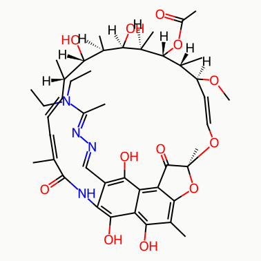 CCN(CC)/C(C)=N/N=C/c1c2c(O)c3c(O)c(C)c4c(c3c1O)C(=O)[C@@](C)(O/C=C/[C@H](OC)[C@@H](C)[C@@H](OC(C)=O)[C@H](C)[C@H](O)[C@H](C)[C@@H](O)[C@@H](C)/C=C/C=C(/C)C(=O)N2)O4